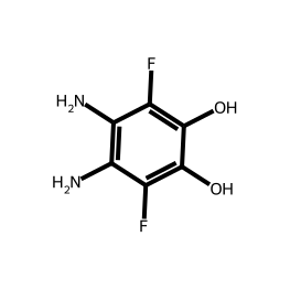 Nc1c(N)c(F)c(O)c(O)c1F